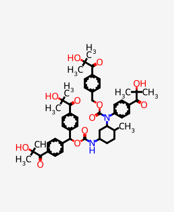 CC1CCC(NC(=O)OC(c2ccc(C(=O)C(C)(C)O)cc2)c2ccc(C(=O)C(C)(C)O)cc2)CC1N(C(=O)OCc1ccc(C(=O)C(C)(C)O)cc1)c1ccc(C(=O)C(C)(C)O)cc1